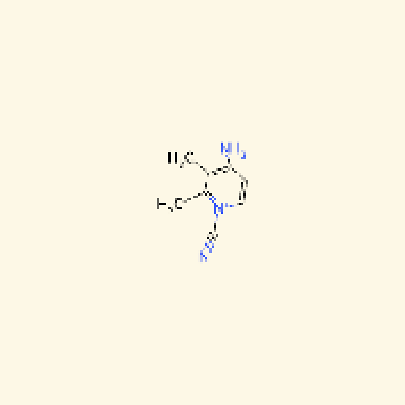 Cc1c(N)cc[n+](C#N)c1C